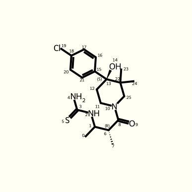 CC(NC(N)=S)[C@@H](C)C(=O)N1CC[C@](O)(c2ccc(Cl)cc2)C(C)(C)C1